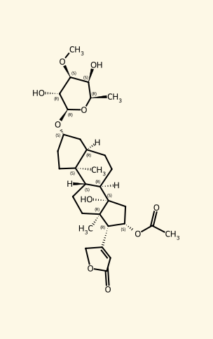 CO[C@H]1[C@@H](O)[C@@H](C)O[C@@H](O[C@H]2CC[C@@]3(C)[C@H](CC[C@@H]4[C@@H]3CC[C@]3(C)[C@@H](C5=CC(=O)OC5)[C@@H](OC(C)=O)C[C@]43O)C2)[C@@H]1O